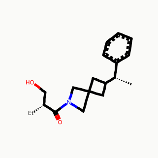 CC[C@H](CO)C(=O)N1CC2(CC([C@@H](C)c3ccccc3)C2)C1